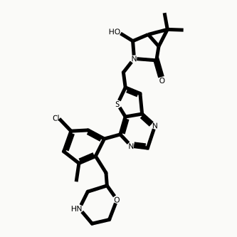 Cc1cc(Cl)cc(-c2ncnc3cc(CN4C(=O)C5C(C4O)C5(C)C)sc23)c1CC1CNCCO1